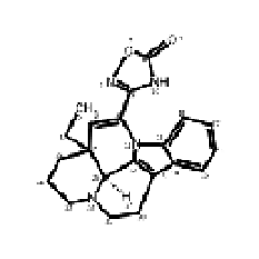 CCC12C=C(c3noc(=O)[nH]3)n3c4c(c5ccccc53)CCN(CCC1)[C@H]42